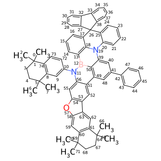 CC1(C)CCC(C)(C)c2cc(N3B4c5cccc6c5N(c5ccccc5C65c6ccccc6-c6ccccc65)c5cc(-c6ccccc6)cc(c54)-c4cc5c(cc43)oc3cc4c(cc35)C(C)(C)CCC4(C)C)ccc21